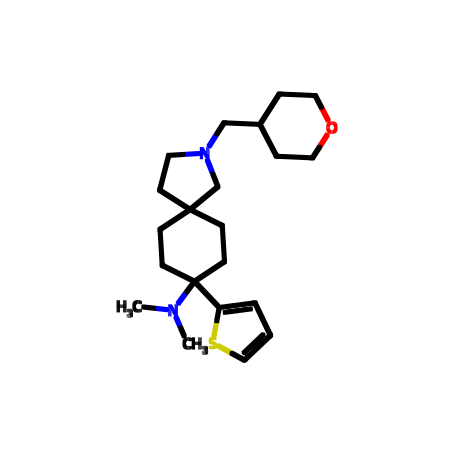 CN(C)C1(c2cccs2)CCC2(CCN(CC3CCOCC3)C2)CC1